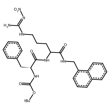 CC(C)(C)OC(=O)N[C@H](Cc1ccccc1)C(=O)NC(CCCNC(N)=N[N+](=O)[O-])C(=O)NCc1cccc2ccccc12